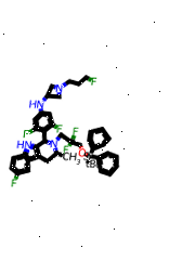 CC1Cc2c([nH]c3ccc(F)cc23)C(c2c(F)cc(NC3CN(CCCF)C3)cc2F)N1CC(F)(F)CO[Si](c1ccccc1)(c1ccccc1)C(C)(C)C